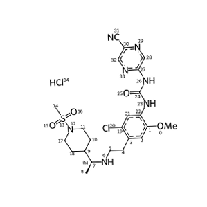 COc1cc(CCN[C@@H](C)C2CCN(S(C)(=O)=O)CC2)c(Cl)cc1NC(=O)Nc1cnc(C#N)cn1.Cl